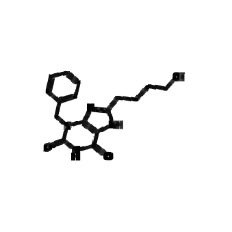 O=c1[nH]c(=O)n(Cc2ccccc2)c2nc(CCCCO)[nH]c12